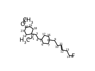 CC[C@]1(CCC2CCC(CC/C=C/CCF)CC2)CC[C@@H](OC)CC1